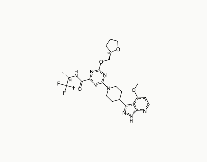 COc1ccnc2[nH]nc(C3CCN(c4nc(OC[C@H]5CCCO5)nc(C(=O)N[C@@H](C)C(F)(F)F)n4)CC3)c12